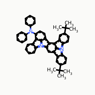 CC(C)(C)c1ccc2c(c1)c1cc3c(c4ccc(N(c5ccccc5)c5ccccc5)c5c6ccccc6n3c45)c3c4cc(C(C)(C)C)ccc4n2c13